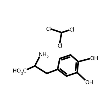 ClC(Cl)Cl.NC(Cc1ccc(O)c(O)c1)C(=O)O